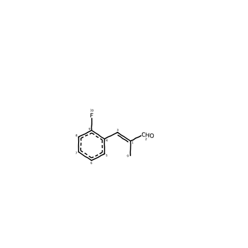 CC(C=O)=Cc1ccccc1F